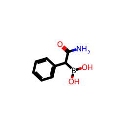 NC(=O)C(B(O)O)c1ccccc1